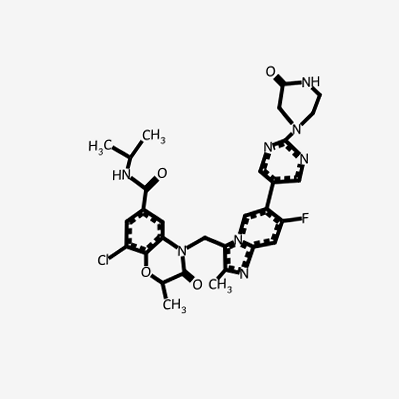 Cc1nc2cc(F)c(-c3cnc(N4CCNC(=O)C4)nc3)cn2c1CN1C(=O)C(C)Oc2c(Cl)cc(C(=O)NC(C)C)cc21